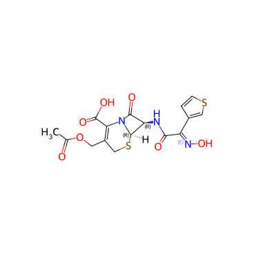 CC(=O)OCC1=C(C(=O)O)N2C(=O)[C@@H](NC(=O)/C(=N/O)c3ccsc3)[C@H]2SC1